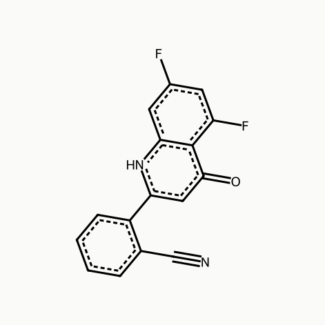 N#Cc1ccccc1-c1cc(=O)c2c(F)cc(F)cc2[nH]1